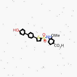 COc1cc(C(=O)O)ccc1NS(=O)(=O)c1ccc(-c2ccc(-c3ccc(O)cc3)cc2)s1